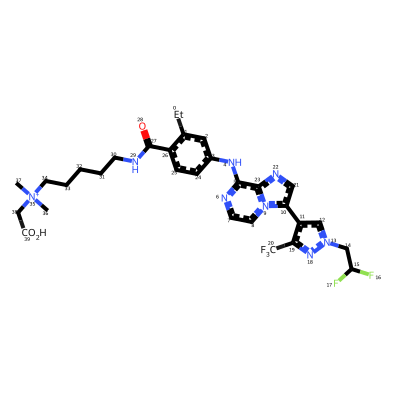 CCc1cc(Nc2nccn3c(-c4cn(CC(F)F)nc4C(F)(F)F)cnc23)ccc1C(=O)NCCCCC[N+](C)(C)CC(=O)O